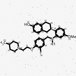 CCN(Cc1ccc(OCCN2CCC(C)CC2)c(F)c1)c1cc(OC)ccc1[C@@H]1CCc2cc(O)ccc2C1